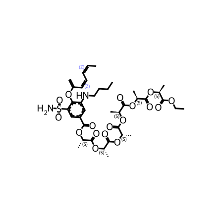 C=C(/C=C\C=C/C)Oc1c(NCCCC)cc(C(=O)O[C@@H](C)C(=O)O[C@@H](C)C(=O)O[C@@H](C)C(=O)O[C@@H](C)C(=O)O[C@@H](C)C(=O)O[C@@H](C)C(=O)OCC)cc1S(N)(=O)=O